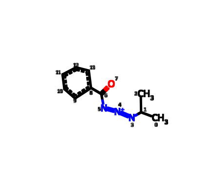 CC(C)N=[N+]=NC(=O)c1ccccc1